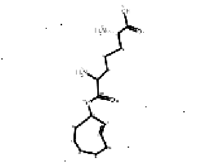 NC(CCC[C@H](N)C(=O)O)C(=O)OC1/C=C/CCCCC1